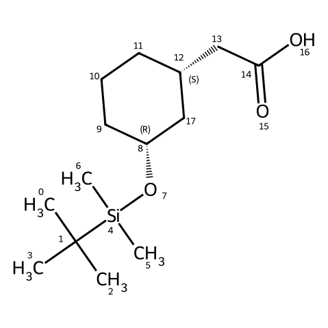 CC(C)(C)[Si](C)(C)O[C@@H]1CCC[C@H](CC(=O)O)C1